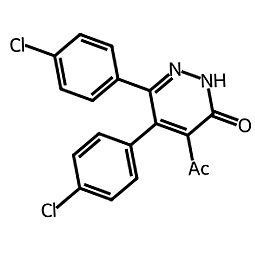 CC(=O)c1c(-c2ccc(Cl)cc2)c(-c2ccc(Cl)cc2)n[nH]c1=O